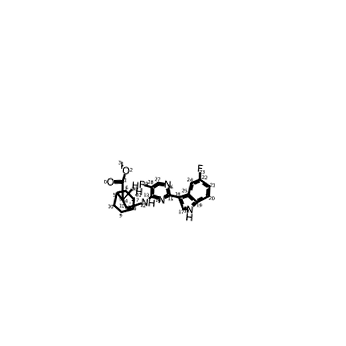 O=C(OI)[C@H]1C2CCC(CC2)[C@@H]1Nc1nc(-c2c[nH]c3ccc(F)cc23)ncc1F